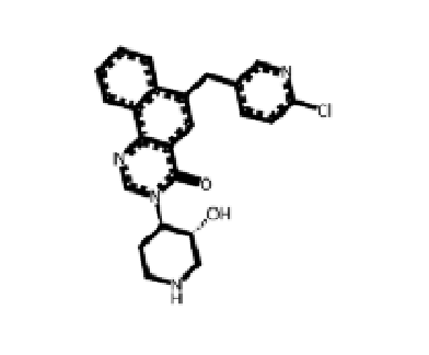 O=c1c2cc(Cc3ccc(Cl)nc3)c3ccccc3c2ncn1[C@@H]1CCNC[C@H]1O